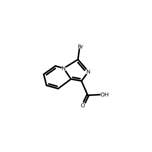 O=C(O)c1nc(Br)n2ccccc12